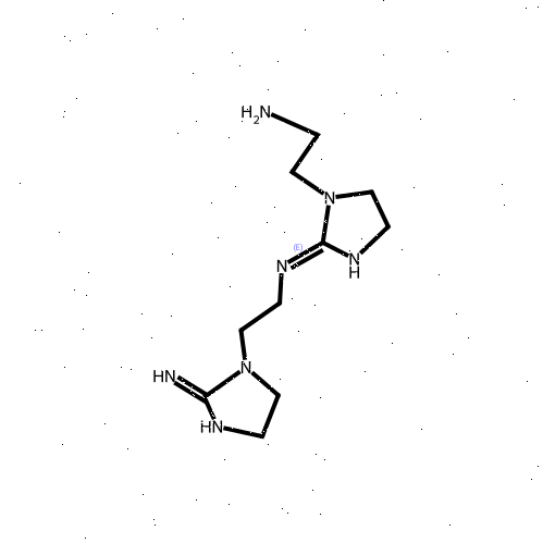 N=C1NCCN1CC/N=C1\NCCN1CCN